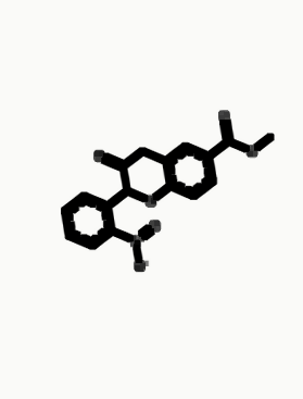 COC(=O)c1ccc2c(c1)CC(=O)C(c1ccccc1[N+](=O)[O-])O2